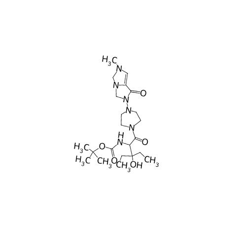 CCC(O)(CC)C(NC(=O)OC(C)(C)C)C(=O)N1CCN(N2CN3CN(C)C=C3C2=O)CC1